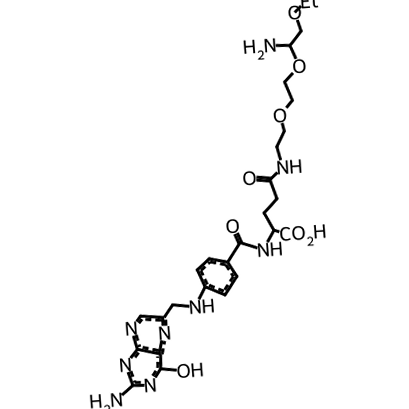 CCOCC(N)OCCOCCNC(=O)CCC(NC(=O)c1ccc(NCc2cnc3nc(N)nc(O)c3n2)cc1)C(=O)O